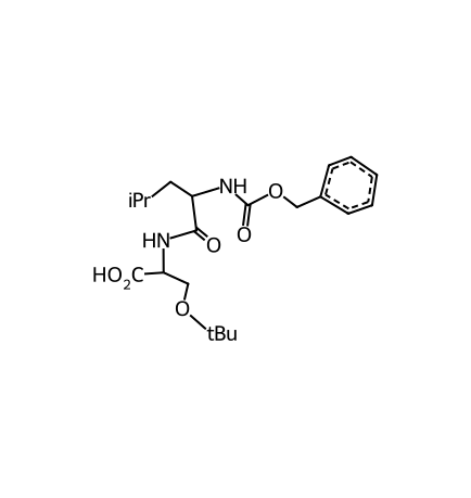 CC(C)CC(NC(=O)OCc1ccccc1)C(=O)NC(COC(C)(C)C)C(=O)O